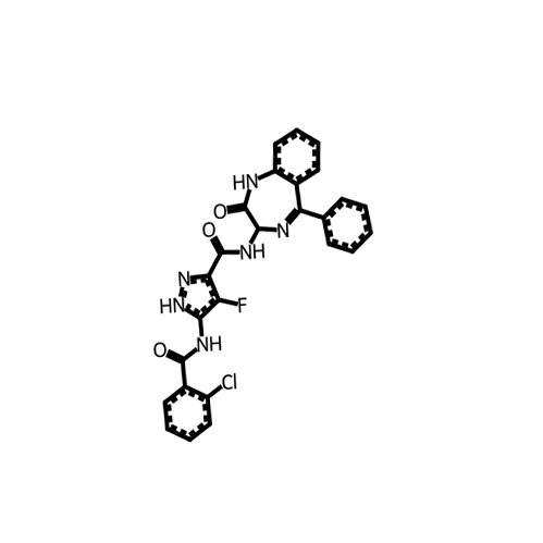 O=C(Nc1[nH]nc(C(=O)NC2N=C(c3ccccc3)c3ccccc3NC2=O)c1F)c1ccccc1Cl